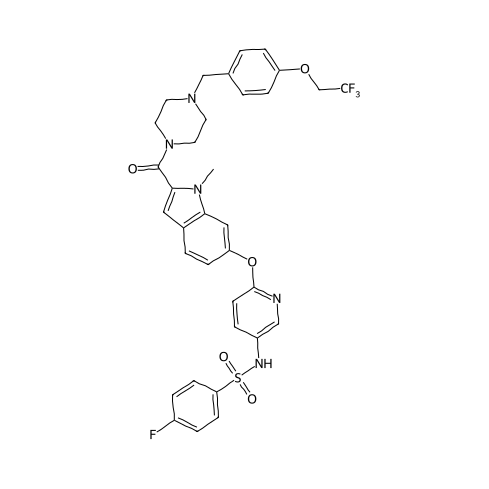 Cn1c(C(=O)N2CCN(Cc3ccc(OCC(F)(F)F)cc3)CC2)cc2ccc(Oc3ccc(NS(=O)(=O)c4ccc(F)cc4)cn3)cc21